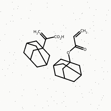 C=C(C(=O)O)C12CC3CC(CC(C3)C1)C2.C=CC(=O)OC12CC3CC(CC(C3)C1)C2